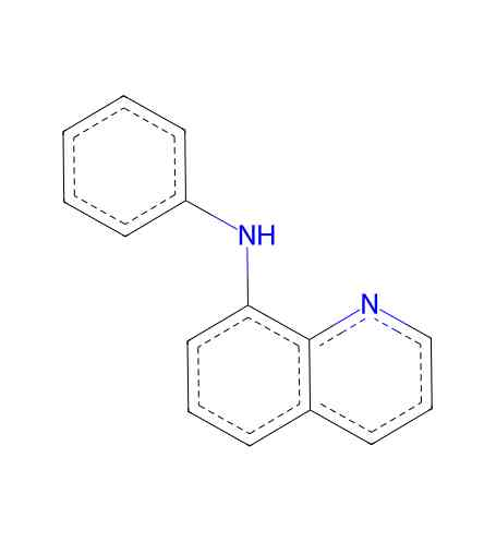 c1ccc(Nc2cccc3cccnc23)cc1